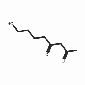 CC(=O)CC(=O)CCCCO